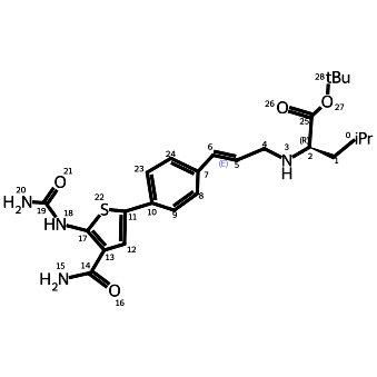 CC(C)C[C@@H](NC/C=C/c1ccc(-c2cc(C(N)=O)c(NC(N)=O)s2)cc1)C(=O)OC(C)(C)C